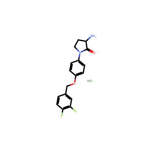 Cl.NC1CCN(c2ccc(OCc3ccc(F)c(F)c3)cc2)C1=O